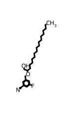 CCCCCCCCCCCCCCCCCC(CO)OCc1cc(F)cc(C#N)c1